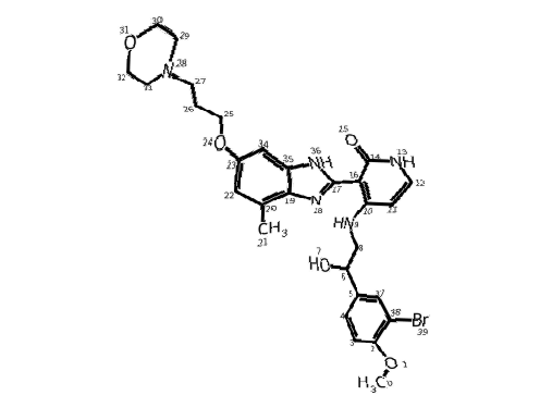 COc1ccc(C(O)CNc2cc[nH]c(=O)c2-c2nc3c(C)cc(OCCCN4CCOCC4)cc3[nH]2)cc1Br